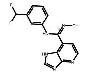 O/N=C(/Nc1cccc(C(F)F)c1)c1ccnc2nc[nH]c12